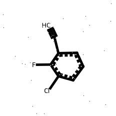 C#Cc1cccc(Cl)c1F